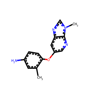 Cc1cc(N)ccc1Oc1cnc2c(c1)ncn2C